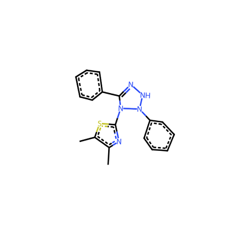 Cc1nc(N2C(c3ccccc3)=NNN2c2ccccc2)sc1C